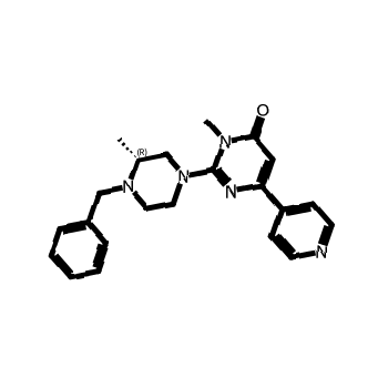 C[C@@H]1CN(c2nc(-c3ccncc3)cc(=O)n2C)CCN1Cc1ccccc1